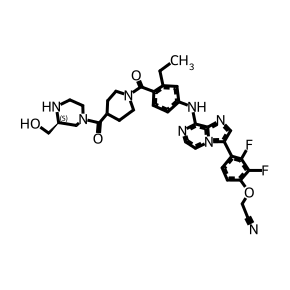 CCc1cc(Nc2nccn3c(-c4ccc(OCC#N)c(F)c4F)cnc23)ccc1C(=O)N1CCC(C(=O)N2CCN[C@H](CO)C2)CC1